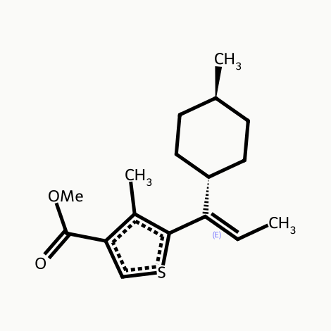 C/C=C(/c1scc(C(=O)OC)c1C)[C@H]1CC[C@H](C)CC1